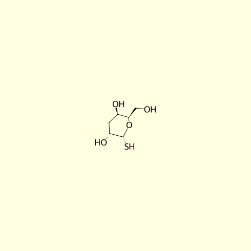 OC[C@H]1O[C@H](S)[C@H](O)C[C@H]1O